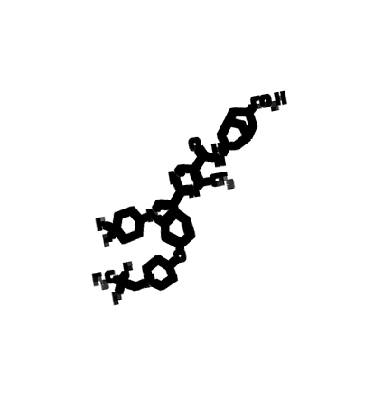 O=C(NC1CC2CC(C1)CC(C(=O)O)C2)c1cnc(-c2cn(C3CCC(F)(F)CC3)c3cc(OC4CCN(CC(F)(F)C(F)(F)F)CC4)ccc23)nc1C(F)(F)F